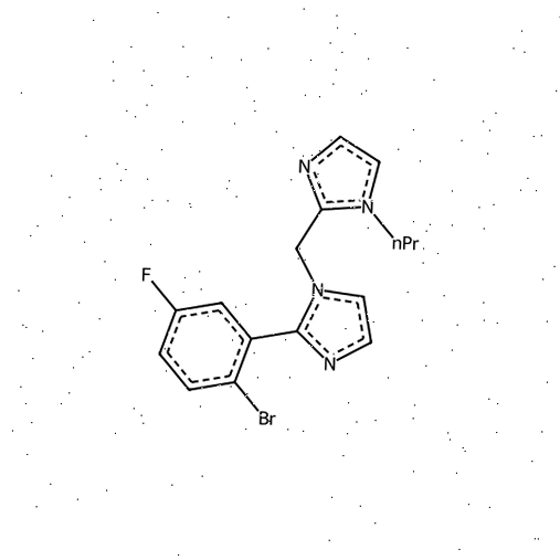 CCCn1ccnc1Cn1ccnc1-c1cc(F)ccc1Br